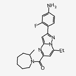 CCc1cc(C(=O)N2CCCCCC2C)nc2cc(-c3ccc(N)cc3F)nn12